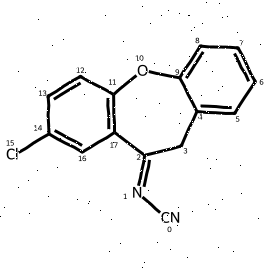 N#CN=C1Cc2ccccc2Oc2ccc(Cl)cc21